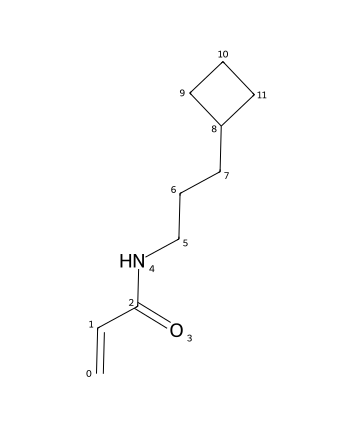 C=CC(=O)NCCCC1CCC1